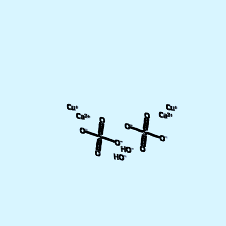 O=S(=O)([O-])[O-].O=S(=O)([O-])[O-].[Ca+2].[Ca+2].[Cu+].[Cu+].[OH-].[OH-]